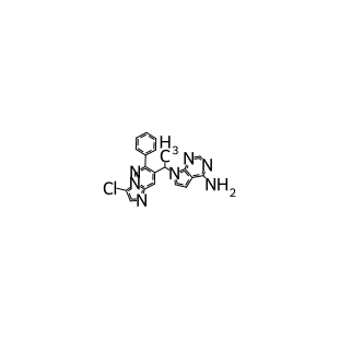 CC(c1cc2ncc(Cl)n2nc1-c1ccccc1)n1ccc2c(N)ncnc21